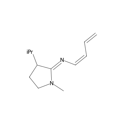 C=C/C=C\N=C1\C(C(C)C)CCN1C